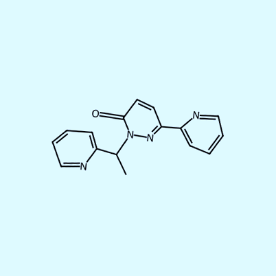 CC(c1ccccn1)n1nc(-c2ccccn2)ccc1=O